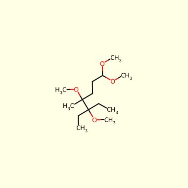 CCC(CC)(OC)C(C)(CCC(OC)OC)OC